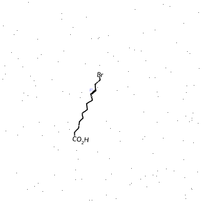 O=C(O)CCCCCCCC/C=C/CCBr